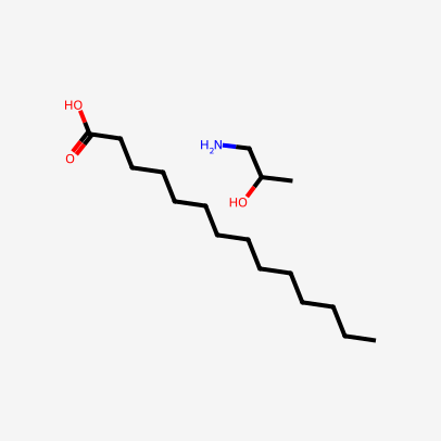 CC(O)CN.CCCCCCCCCCCCCC(=O)O